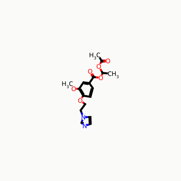 COc1cc(C(=O)OC(C)OC(C)=O)ccc1OCCn1ccnc1